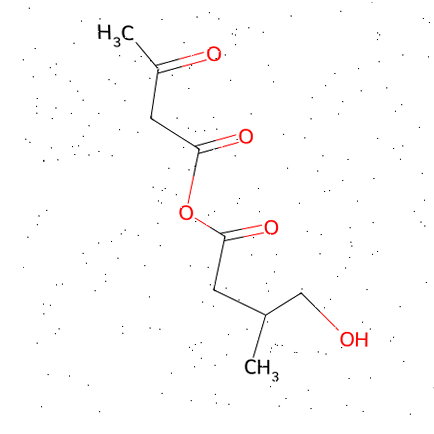 CC(=O)CC(=O)OC(=O)CC(C)CO